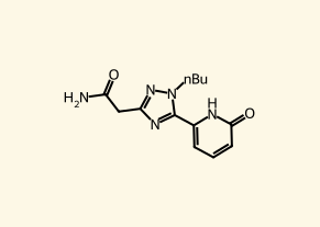 CCCCn1nc(CC(N)=O)nc1-c1cccc(=O)[nH]1